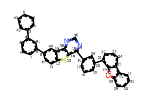 c1ccc(-c2cccc(-c3ccc4sc5c(-c6cccc(-c7cccc8c7oc7ccccc78)c6)ncnc5c4c3)c2)cc1